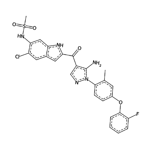 Cc1cc(Oc2ccccc2F)ccc1-n1ncc(C(=O)c2cc3cc(Cl)c(NS(C)(=O)=O)cc3[nH]2)c1N